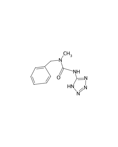 CN(Cc1ccccc1)C(=O)Nc1nnn[nH]1